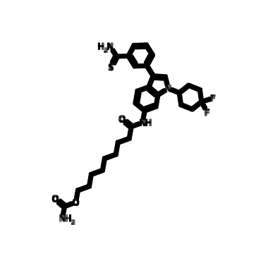 NC(=O)OCCCCCCCCC(=O)Nc1ccc2c(-c3cccc(C(N)=S)c3)cn(C3CCC(F)(F)CC3)c2c1